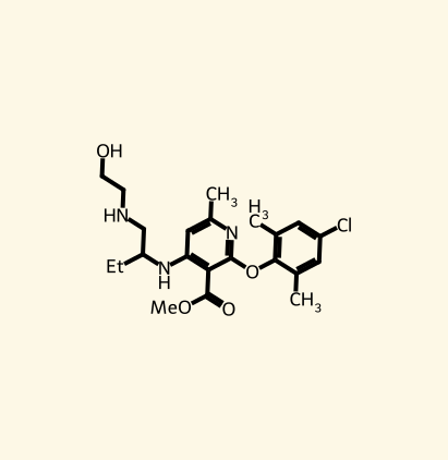 CCC(CNCCO)Nc1cc(C)nc(Oc2c(C)cc(Cl)cc2C)c1C(=O)OC